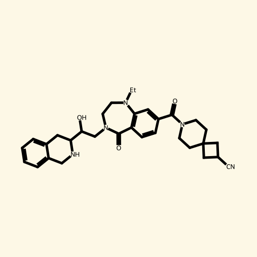 CCN1CCN(CC(O)C2Cc3ccccc3CN2)C(=O)c2ccc(C(=O)N3CCC4(CC3)CC(C#N)C4)cc21